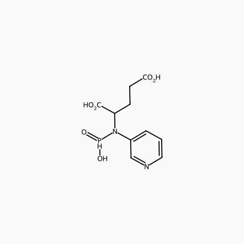 O=C(O)CCC(C(=O)O)N(c1cccnc1)[PH](=O)O